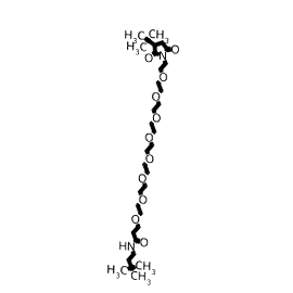 CC(C)(C)CCNC(=O)CCOCCOCCOCCOCCOCCOCCOCCOCCN1C(=O)CC(C(C)(C)C)C1=O